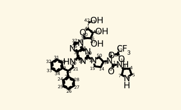 O=C(NC1CCNC1)N(OC(=O)C(F)(F)F)C1CCN(c2nc(NCC(c3ccccc3)c3ccccc3)c3ncn([C@@H]4O[C@H](CO)[C@@H](O)[C@@H]4O)c3n2)C1